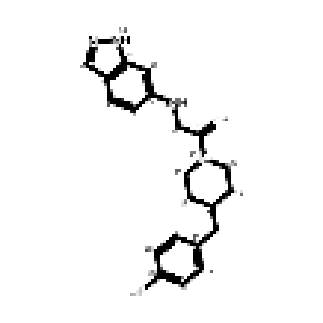 O=C(CNc1ccc2cn[nH]c2c1)N1CCC(Cc2ccc(F)cc2)CC1